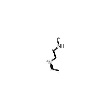 C/C=N\CCNI